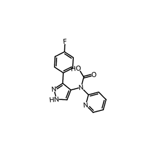 O=C(O)N(c1ccccn1)c1c[nH]nc1-c1ccc(F)cc1